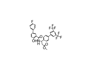 COC(=O)CC(NC(=O)c1cc(-c2ccc(F)cc2)ccc1O)c1ccc(-c2cc(C(F)(F)F)cc(C(F)(F)F)c2)cc1